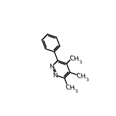 Cc1nnc(-c2ccccc2)c(C)c1C